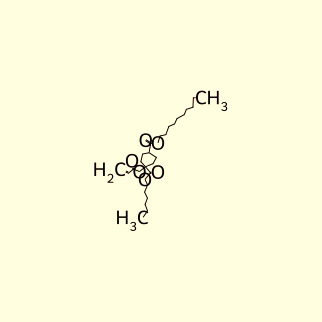 C=CC(=O)OC1(C(=O)OCCCCCC)CCC(C(=O)OCCCCCCCCCC)CC1